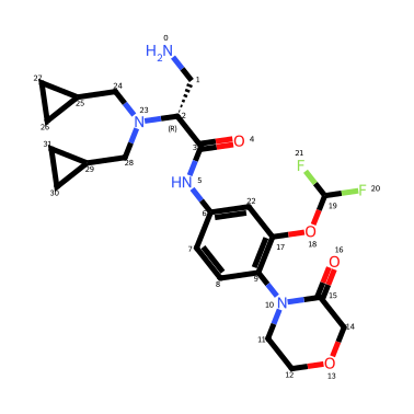 NC[C@H](C(=O)Nc1ccc(N2CCOCC2=O)c(OC(F)F)c1)N(CC1CC1)CC1CC1